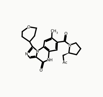 CC(=O)C[C@@H]1CCCN1C(=O)c1cc2[nH]c(=O)c3cnc(C4CCOCC4)n3c2cc1C